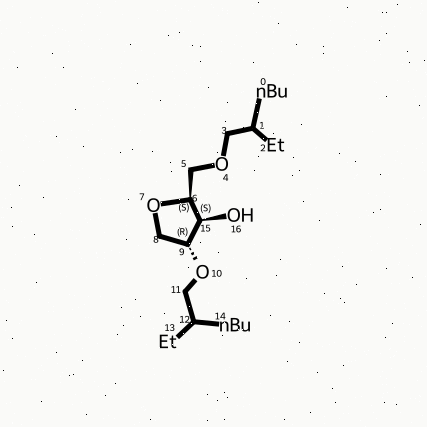 CCCCC(CC)COC[C@@H]1OC[C@@H](OCC(CC)CCCC)[C@@H]1O